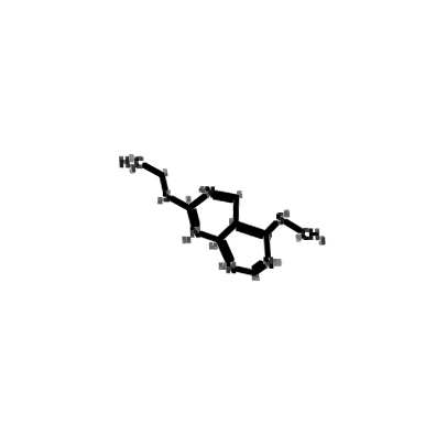 CCSc1ncc2c(SC)ncnc2n1